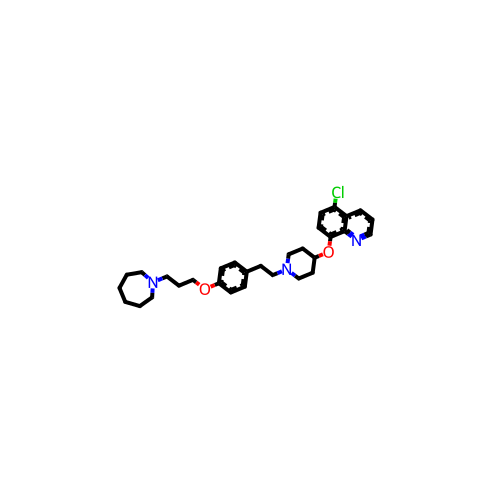 Clc1ccc(OC2CCN(CCc3ccc(OCCCN4CCCCCC4)cc3)CC2)c2ncccc12